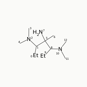 CCC(N(C)C)C(C)(N)C(CC)N(C)C